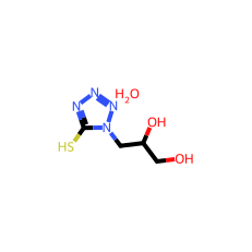 O.OCC(O)Cn1nnnc1S